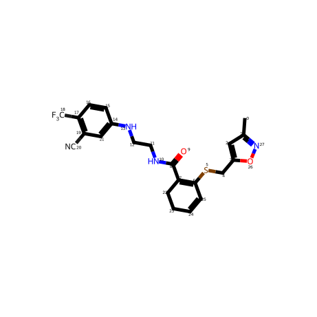 Cc1cc(CSC2=C(C(=O)NCCNc3ccc(C(F)(F)F)c(C#N)c3)CCC=C2)on1